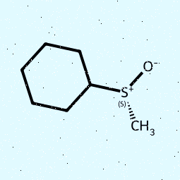 C[S@@+]([O-])C1CCCCC1